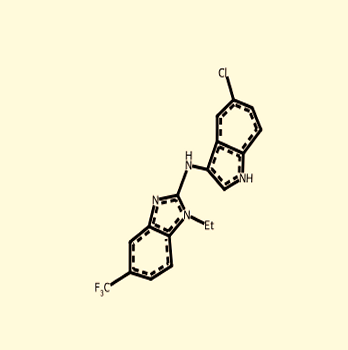 CCn1c(Nc2c[nH]c3ccc(Cl)cc23)nc2cc(C(F)(F)F)ccc21